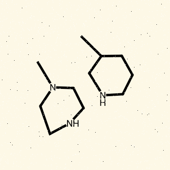 CC1CCCNC1.CN1CCNCC1